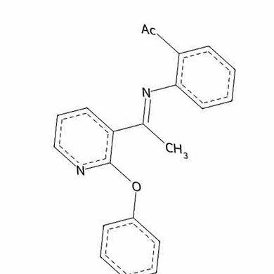 CC(=O)c1ccccc1/N=C(\C)c1cccnc1Oc1ccccc1